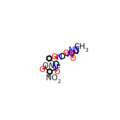 COC(=O)c1cc(C(=O)N2CC[C@@H](C(=O)N3CCC(O)(Cn4cnc5c(ccn5C)c4=O)CC3)[C@H](c3ccccc3)C2)cc([N+](=O)[O-])c1